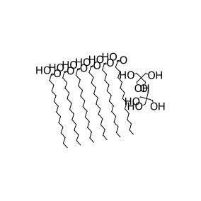 CCCCCCCCCCCCCCC(=O)O.CCCCCCCCCCCCCCC(=O)O.CCCCCCCCCCCCCCC(=O)O.CCCCCCCCCCCCCCC(=O)O.CCCCCCCCCCCCCCC(=O)O.CCCCCCCCCCCCCCC(=O)O.OCC(CO)(CO)COCC(CO)(CO)CO